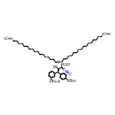 CCCCCCCCCCCCCCCCCCCCCCCCCC[CH2][Ni][CH2]CCCCCCCCCCCCCCCCCCCCCCCCCC.CCCCCCCCCCc1ccc(C(=C(CC)C(=C=[N+]=[N-])CCCCCCCC)c2cccc(CCCCC)c2)cc1